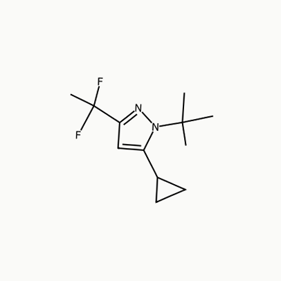 CC(F)(F)c1cc(C2CC2)n(C(C)(C)C)n1